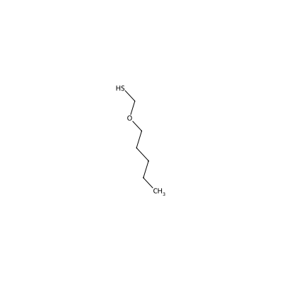 CCCCCOCS